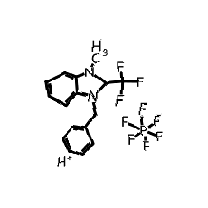 CN1c2ccccc2N(Cc2ccccc2)C1C(F)(F)F.F[P-](F)(F)(F)(F)F.[H+]